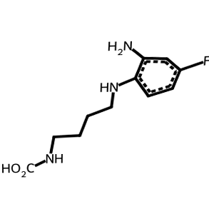 Nc1cc(F)ccc1NCCCCNC(=O)O